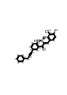 O=C1/C(=C/c2ccc(F)c(Cl)c2)[S+]([O-])Nc2ccc(C#CCc3ccccc3)cc21